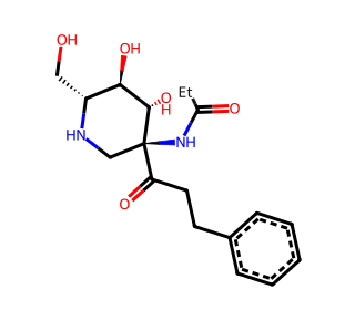 CCC(=O)N[C@@]1(C(=O)CCc2ccccc2)CN[C@H](CO)[C@@H](O)[C@@H]1O